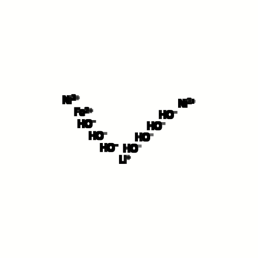 [Fe+2].[Li+].[Ni+2].[Ni+2].[OH-].[OH-].[OH-].[OH-].[OH-].[OH-].[OH-]